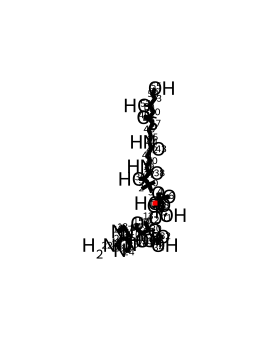 CC(C)(COP(=O)(O)OP(=O)(O)OC[C@H]1O[C@@H](n2cnc3c(N)ncnc32)[C@H](O)[C@@H]1OP(=O)(O)O)C(O)C(=O)NCCC(=O)NCCSC(=O)C[C@@H](O)CCO